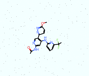 COc1ccc(-c2cnc(NC(C)=O)cc2Nc2cccc(C(C)(F)F)n2)nn1